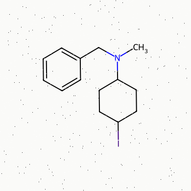 CN(Cc1ccccc1)C1CCC(I)CC1